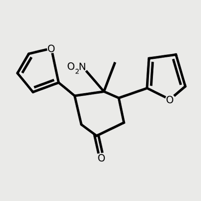 CC1([N+](=O)[O-])C(c2ccco2)CC(=O)CC1c1ccco1